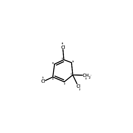 [CH2]C1(Cl)C=C(Cl)C=C(Cl)C1